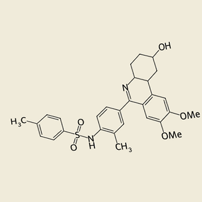 COc1cc2c(cc1OC)C1CC(O)CCC1N=C2c1ccc(NS(=O)(=O)c2ccc(C)cc2)c(C)c1